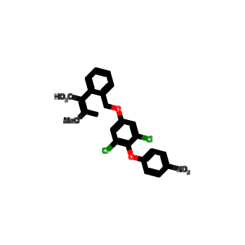 COC(C)=C(C(=O)O)c1ccccc1COc1cc(Cl)c(Oc2ccc([N+](=O)[O-])cc2)c(Cl)c1